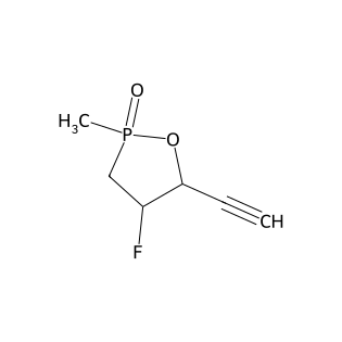 C#CC1OP(C)(=O)CC1F